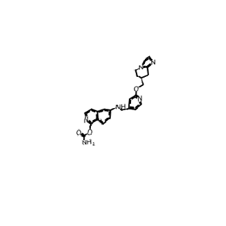 NC(=O)Oc1nccc2cc(NCc3ccnc(OC[C@H]4CCn5ccnc5C4)c3)ccc12